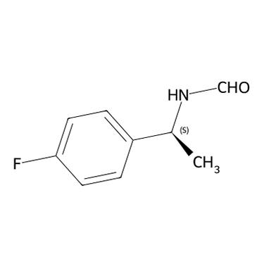 C[C@H](NC=O)c1ccc(F)cc1